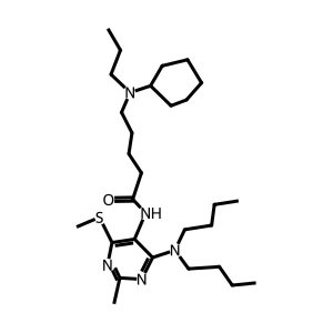 CCCCN(CCCC)c1nc(C)nc(SC)c1NC(=O)CCCCN(CCC)C1CCCCC1